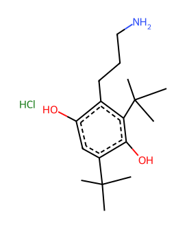 CC(C)(C)c1cc(O)c(CCCN)c(C(C)(C)C)c1O.Cl